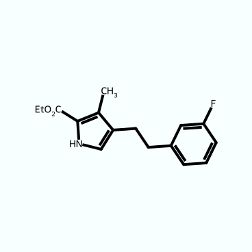 CCOC(=O)c1[nH]cc(CCc2cccc(F)c2)c1C